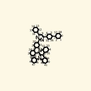 c1ccc(-c2ccc(-c3cc(-c4ccccc4)nc(-c4ccc(-c5ccccc5-c5nc6ccccc6c6c7ccccc7n(-c7ccccc7)c56)cc4)n3)cc2)cc1